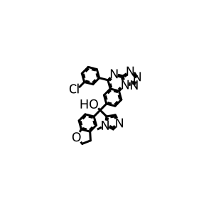 Cn1cncc1C(O)(c1ccc2c(c1)CCO2)c1ccc2c(c1)c(-c1cccc(Cl)c1)nc1nnnn12